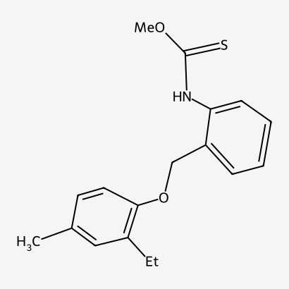 CCc1cc(C)ccc1OCc1ccccc1NC(=S)OC